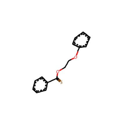 S=C(OCCOc1ccccc1)c1ccccc1